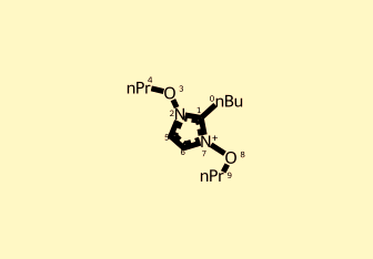 CCCCc1n(OCCC)cc[n+]1OCCC